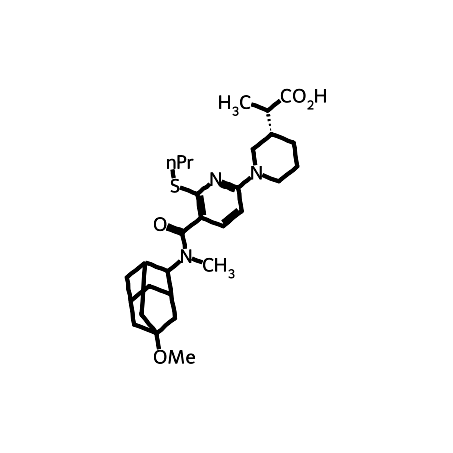 CCCSc1nc(N2CCC[C@@H](C(C)C(=O)O)C2)ccc1C(=O)N(C)C1C2CC3CC1CC(OC)(C3)C2